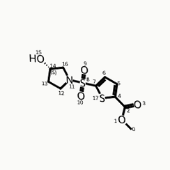 COC(=O)c1ccc(S(=O)(=O)N2CC[C@H](O)C2)s1